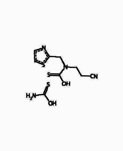 N#CCCN(Cc1nccs1)C(O)=S.NC(O)=S